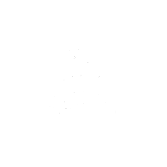 CS(=O)(=O)c1ccc(C2=C(c3ccc(Cl)c(C(F)(F)F)c3)CC3(CC3)C2)cc1